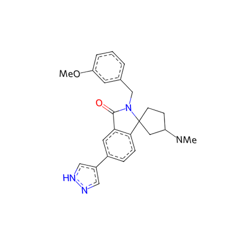 CNC1CCC2(C1)c1ccc(-c3cn[nH]c3)cc1C(=O)N2Cc1cccc(OC)c1